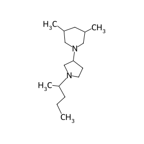 CCCC(C)N1CCC(N2CC(C)CC(C)C2)C1